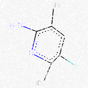 CC(C)c1cc(F)c(C(C)C)nc1N